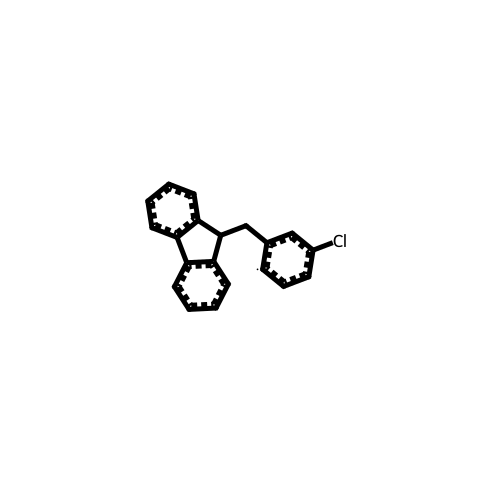 Clc1cc[c]c(CC2c3ccccc3-c3ccccc32)c1